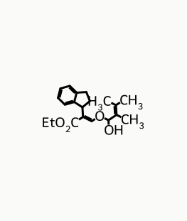 CCOC(=O)/C(=C/OC(O)C(C)=C(C)C)C1CCc2ccccc21